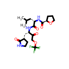 CC(C)C[C@H](NC(=O)[C@H]1CCCO1)C(=O)N[C@@H](C[C@@H]1CCNC1=O)C(=O)COC(F)(F)F